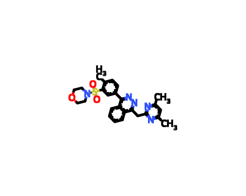 Cc1cc(C)nc(Cc2nnc(-c3ccc(C)c(S(=O)(=O)N4CCOCC4)c3)c3ccccc23)n1